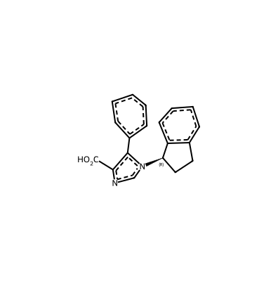 O=C(O)c1ncn([C@@H]2CCc3ccccc32)c1-c1ccccc1